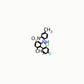 Cc1ccc(Nc2cccc(C)c2-c2ccc(F)cc2Cl)c([N+](=O)[O-])c1